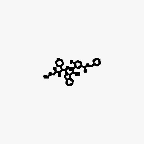 CC(C)(C)OCC(=O)NC(C(=O)N1Cc2ccccc2C1C(O)Nc1cc(C(=O)OCc2ccccc2)ccc1F)C1CCOCC1